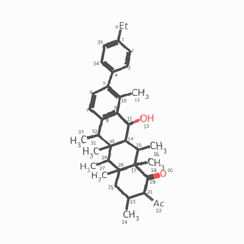 CCc1ccc(-c2ccc3c(c2C)C(O)C2C(C)C4(C)C(=O)C(C(C)=O)C(C)CC4(C)C(C)C2(C)C3C)cc1